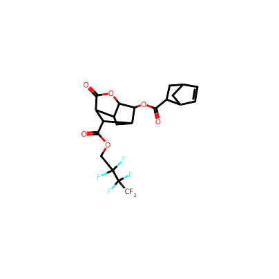 O=C(OC1C2CC3C1OC(=O)C3C2C(=O)OCC(F)(F)C(F)(F)C(F)(F)F)C1CC2C=CC1C2